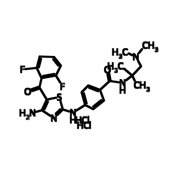 CN(C)CC(C)(C)NC(=O)c1ccc(Nc2nc(N)c(C(=O)c3c(F)cccc3F)s2)cc1.Cl.Cl